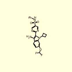 CC(C)NS(=O)(=O)c1cnc(-c2c(N)c3ccc(OC(F)F)cc3n2C2CCC2)nc1